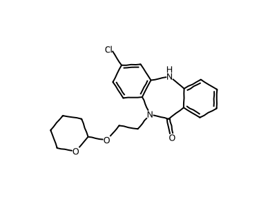 O=C1c2ccccc2Nc2cc(Cl)ccc2N1CCOC1CCCCO1